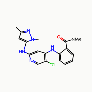 CNC(=O)c1ccccc1Nc1cc(Nc2cc(C)nn2C)ncc1Cl